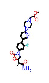 COC(=O)CN1CCN(c2ccc(-c3ccc(N4CC([C@H](C)C(N)=O)OC4=O)cc3F)cn2)CC1